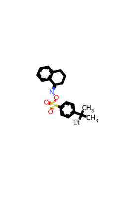 CCC(C)(C)c1ccc(S(=O)(=O)ON=C2CCCc3ccccc32)cc1